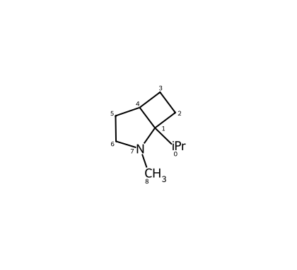 CC(C)C12CCC1CCN2C